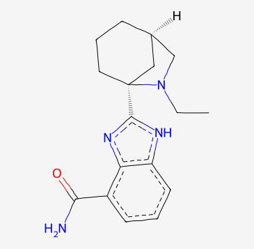 CCN1C[C@@H]2CCC[C@@]1(c1nc3c(C(N)=O)cccc3[nH]1)C2